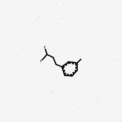 Cc1cccc(CCC(F)F)c1